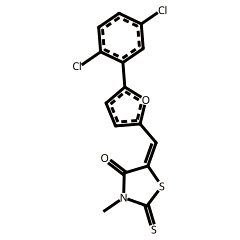 CN1C(=O)/C(=C\c2ccc(-c3cc(Cl)ccc3Cl)o2)SC1=S